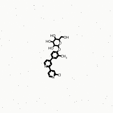 Cc1cc(-c2ccnc(-c3ccnc(Cl)c3)c2)ccc1OC1OC(CO)C(O)C(O)C1O